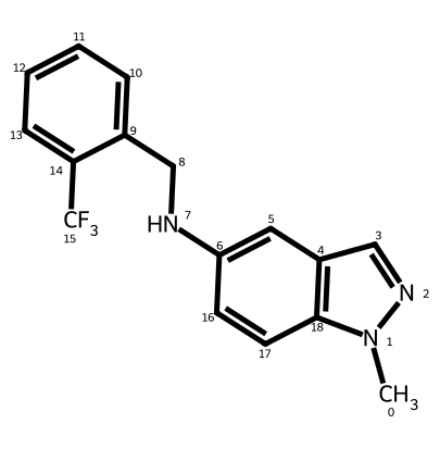 Cn1ncc2cc(NCc3ccccc3C(F)(F)F)ccc21